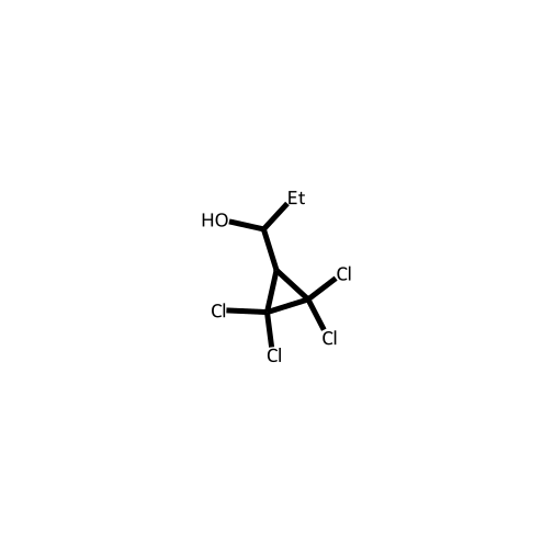 CCC(O)C1C(Cl)(Cl)C1(Cl)Cl